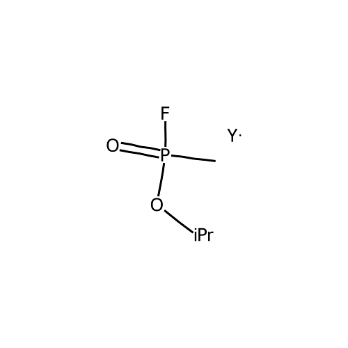 CC(C)OP(C)(=O)F.[Y]